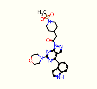 CS(=O)(=O)N1CCC(CC(=O)n2ncc3c(-c4cccc5[nH]ccc45)nc(N4CCOCC4)nc32)CC1